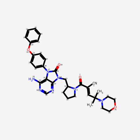 CC(C)(C=C(C#N)C(=O)N1CCCC1Cn1c(=O)n(-c2ccc(Oc3ccccc3)cc2)c2c(N)ncnc21)N1CCOCC1